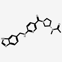 CC(=O)N(C)[C@H]1CCN(C(=O)c2ccc(NCc3ccc4nc[nH]c4c3)nc2)C1